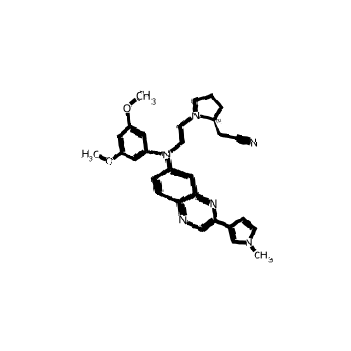 COc1cc(OC)cc(N(CCN2CCC[C@H]2CC#N)c2ccc3ncc(-c4ccn(C)c4)nc3c2)c1